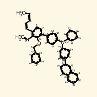 C=Nc1c(/C=C\C=C/C)ccc(-c2ccc(N(c3ccccc3)c3ccc(-c4ccc5ccccc5c4)cc3)cc2)c1OCc1ccccc1